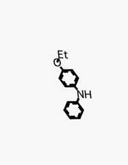 CCOc1ccc(Nc2ccccc2)cc1